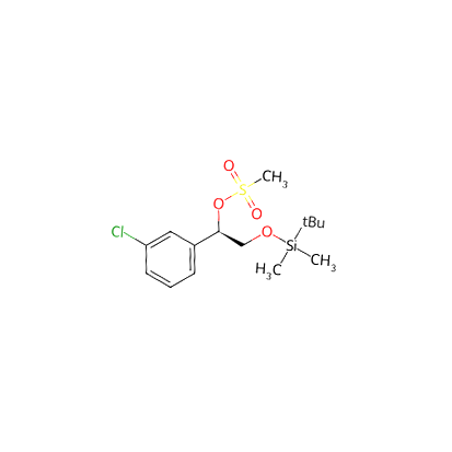 CC(C)(C)[Si](C)(C)OC[C@H](OS(C)(=O)=O)c1cccc(Cl)c1